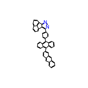 c1ccc2cc3cc(-c4c5ccccc5c(-c5ccc(-c6ncnc7c6-c6cccc8cccc-7c68)cc5)c5ccccc45)ccc3cc2c1